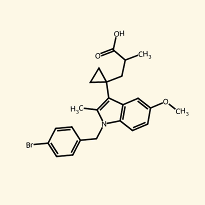 COc1ccc2c(c1)c(C1(CC(C)C(=O)O)CC1)c(C)n2Cc1ccc(Br)cc1